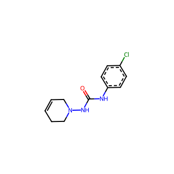 O=C(Nc1ccc(Cl)cc1)NN1CC=CCC1